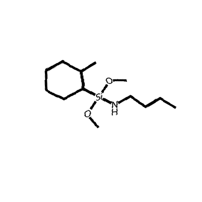 CCCCN[Si](OC)(OC)C1CCCCC1C